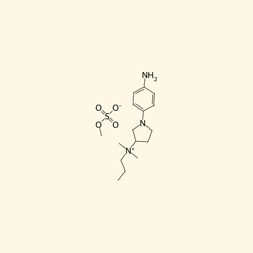 CCC[N+](C)(C)C1CCN(c2ccc(N)cc2)C1.COS(=O)(=O)[O-]